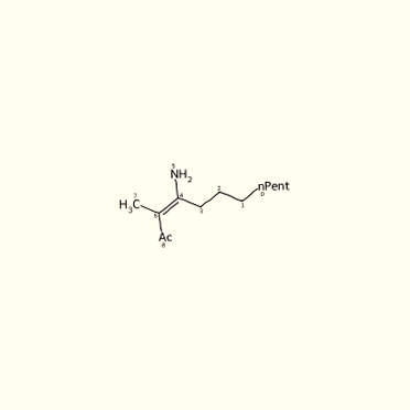 CCCCCCCC/C(N)=C(/C)C(C)=O